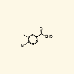 Cc1cc(C(=O)C=O)ccc1Br